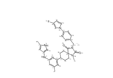 Cc1cc(Nc2cc(C)[nH]n2)nc(C2CCC3(CC2)C(=O)N([C@@H](C)c2ccc(-n4cc(F)cn4)nc2)C(=O)N3C)n1